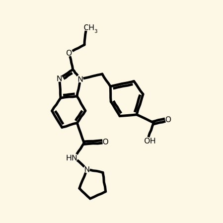 CCOc1nc2ccc(C(=O)NN3CCCC3)cc2n1Cc1ccc(C(=O)O)cc1